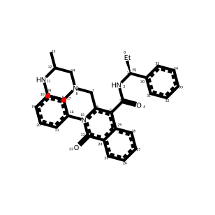 CC[C@H](NC(=O)c1c(CN2CCNC(C)C2)n(-c2ccccc2)c(=O)c2ccccc12)c1ccccc1